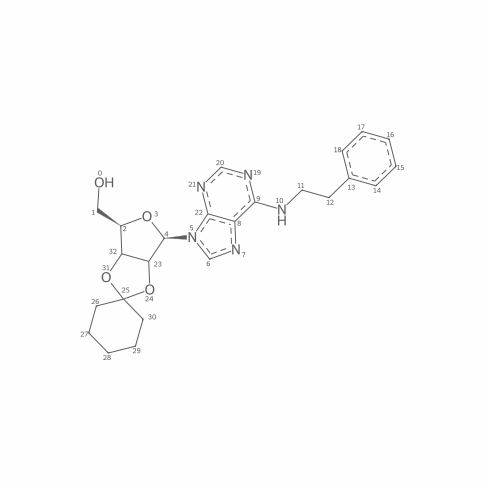 OC[C@H]1O[C@@H](n2cnc3c(NCCc4ccccc4)ncnc32)C2OC3(CCCCC3)OC21